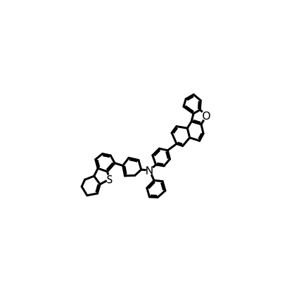 C1=CC2c3c(oc4ccccc34)C=CC2C=C1c1ccc(N(c2ccccc2)C2C=CC(c3cccc4c3SC3=CCCCC34)=CC2)cc1